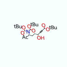 CC(=O)[C@H](CCC(O)C#CC(=O)OC(C)(C)C)N(C(=O)OC(C)(C)C)C(=O)OC(C)(C)C